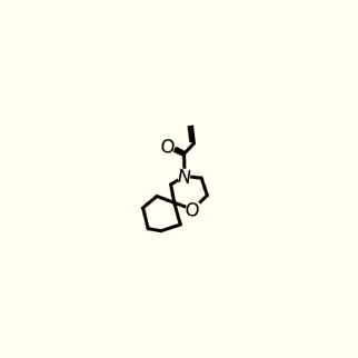 C=CC(=O)N1CCOC2(CCCCC2)C1